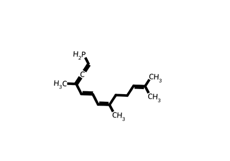 CC(=C=CP)C=CC=C(C)CCC=C(C)C